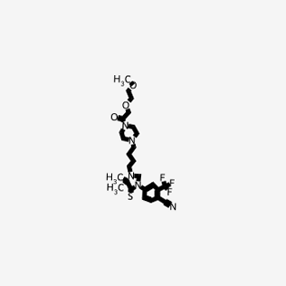 COCCOCC(=O)N1CCN(CCCCN2CN(c3ccc(C#N)c(C(F)(F)F)c3)C(=S)C2(C)C)CC1